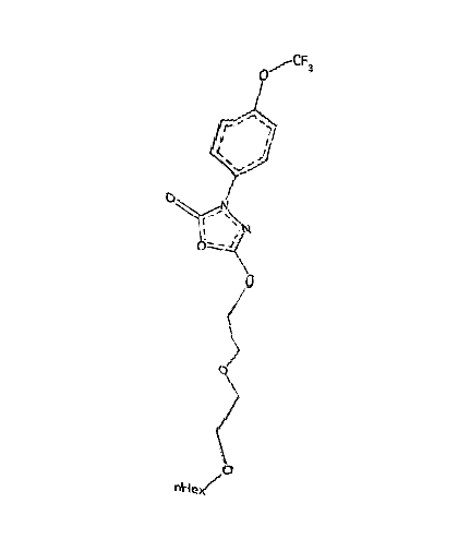 CCCCCCOCCOCCOc1nn(-c2ccc(OC(F)(F)F)cc2)c(=O)o1